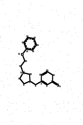 S=C1C=C(CC2CCN(CCOc3ccccc3)C2)C=CC1